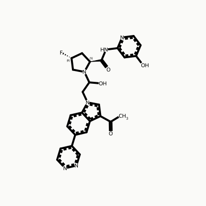 CC(=O)c1cn(CC(O)N2C[C@H](F)C[C@H]2C(=O)Nc2cc(O)ccn2)c2ccc(-c3ccnnc3)cc12